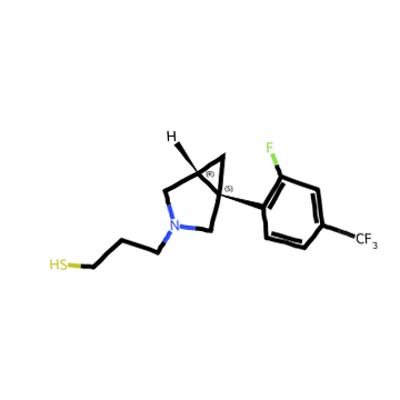 Fc1cc(C(F)(F)F)ccc1[C@]12C[C@H]1CN(CCCS)C2